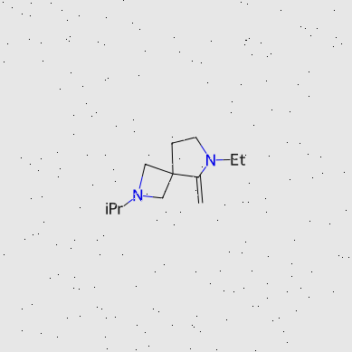 C=C1N(CC)CCC12CN(C(C)C)C2